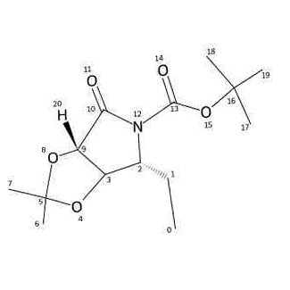 CC[C@@H]1C2OC(C)(C)O[C@@H]2C(=O)N1C(=O)OC(C)(C)C